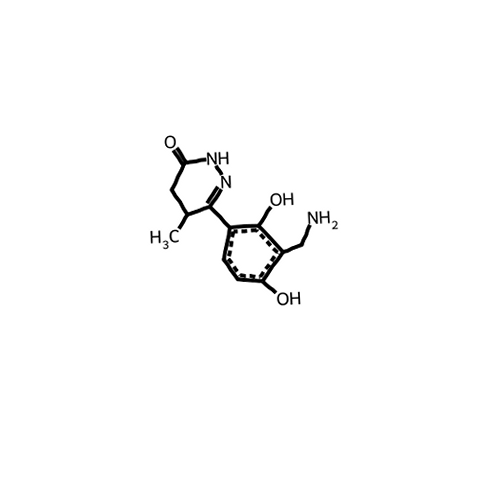 CC1CC(=O)NN=C1c1ccc(O)c(CN)c1O